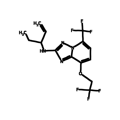 C=CC(CC)Nc1nc2c(OCC(F)(F)F)ccc(C(F)(F)F)n2n1